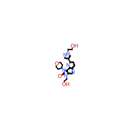 O=c1n(CCO)c2cnc3ccc(-c4cnn(CCO)c4)nc3c2n1C1CCOCC1